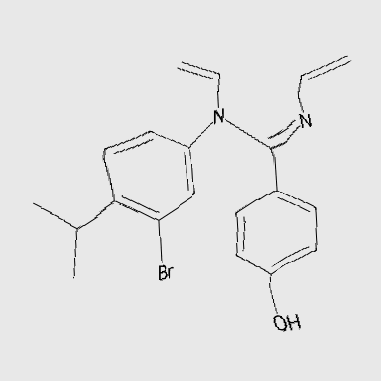 C=C/N=C(/c1ccc(O)cc1)N(C=C)c1ccc(C(C)C)c(Br)c1